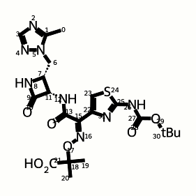 Cc1ncnn1C[C@H]1NC(=O)[C@H]1NC(=O)/C(=N\OC(C)(C)C(=O)O)c1csc(NC(=O)OC(C)(C)C)n1